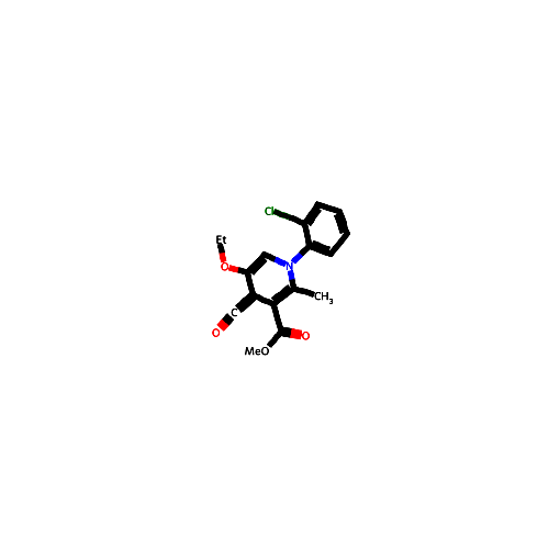 CCOC1=CN(c2ccccc2Cl)C(C)=C(C(=O)OC)C1=C=O